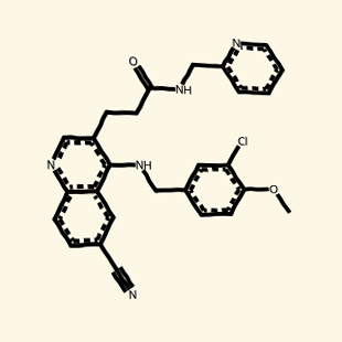 COc1ccc(CNc2c(CCC(=O)NCc3ccccn3)cnc3ccc(C#N)cc23)cc1Cl